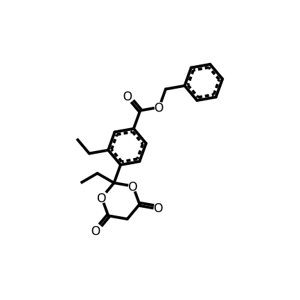 CCc1cc(C(=O)OCc2ccccc2)ccc1C1(CC)OC(=O)CC(=O)O1